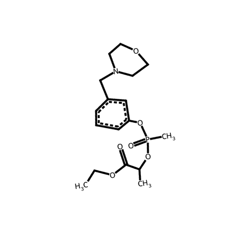 CCOC(=O)C(C)OP(C)(=O)Oc1cccc(CN2CCOCC2)c1